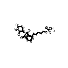 CS(=O)(=O)OCCCCCc1cccc2c1C(=O)N(C1CCC(=O)NC1=O)C2=O